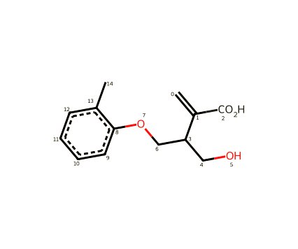 C=C(C(=O)O)C(CO)COc1ccccc1C